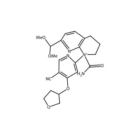 COC(OC)c1ccc2c(n1)[N+](C(N)=O)(c1cc(OC3CCOC3)c(C#N)cn1)CCC2